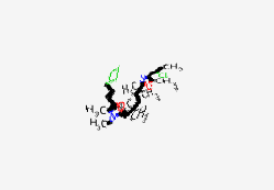 CCC(Cl)Cc1nc(C(C)(C)C=CC(C)(C)/C=C2\OC(CCCCl)=C(C)N2CC)oc1C